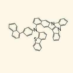 c1ccc2c(-c3ccc(N(c4cccc5cc6c(cc45)c4c5ccccc5n5c7ccccc7n6c45)c4cccc5c4sc4ccccc45)cc3)cccc2c1